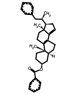 C[C@H](Cc1ccccc1)[C@H]1CC=C2C3=C(CC[C@@]21C)[C@@]1(C)CC[C@H](OC(=O)c2ccccc2)C[C@@H]1CC3